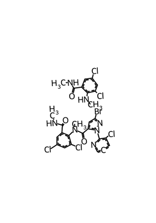 CNC(=O)c1cc(Cl)cc(Cl)c1N(C)C(=O)c1cc(Br)nn1-c1ncccc1Cl.CNC(=O)c1cc(Cl)cc(Cl)c1NC